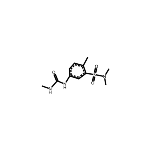 CNC(=O)Nc1ccc(C)c(S(=O)(=O)N(C)C)c1